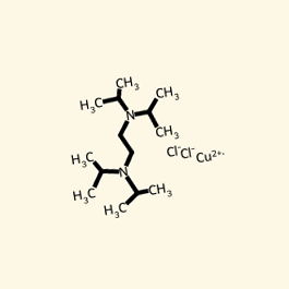 CC(C)N(CCN(C(C)C)C(C)C)C(C)C.[Cl-].[Cl-].[Cu+2]